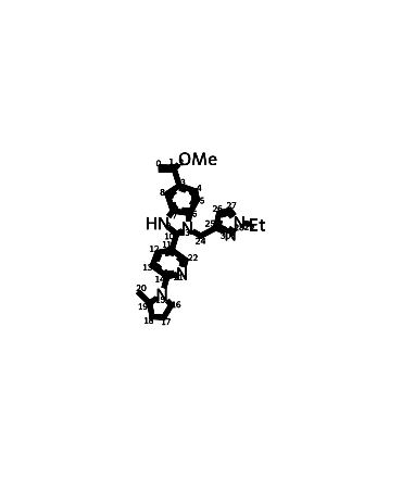 C=C(OC)c1ccc2c(c1)NC(c1ccc(N3CCCC3C)nc1)N2Cc1ccn(CC)n1